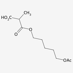 CC(=O)OCCCCCOC(=O)C(C)C(=O)O